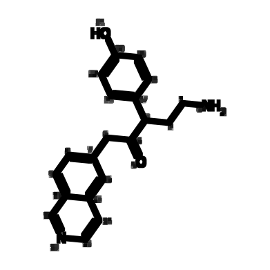 NCCC(C(=O)Cc1ccc2cnccc2c1)c1ccc(O)cc1